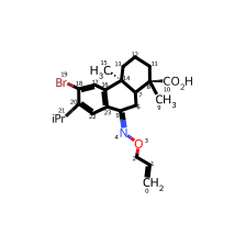 C=CCO/N=C1\CC2[C@](C)(C(=O)O)CCC[C@]2(C)c2cc(Br)c(C(C)C)cc21